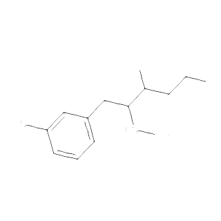 O=C(O)NC(Cc1cccc([N+](=O)[O-])c1)C(Cl)CCF